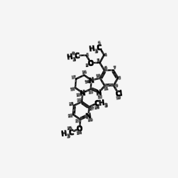 CCOC(CC)c1ccc(Cl)c2nc3n(c12)CCCN3c1ccc(OC)nc1C